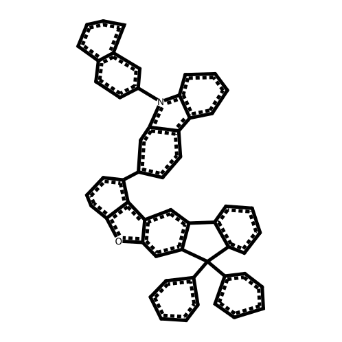 c1ccc(C2(c3ccccc3)c3ccccc3-c3cc4c(cc32)oc2cccc(-c3ccc5c6ccccc6n(-c6ccc7ccccc7c6)c5c3)c24)cc1